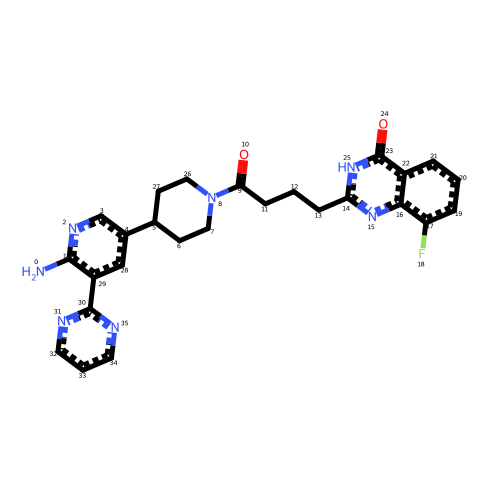 Nc1ncc(C2CCN(C(=O)CCCc3nc4c(F)cccc4c(=O)[nH]3)CC2)cc1-c1ncccn1